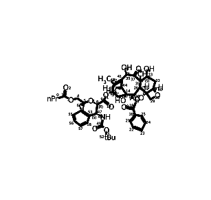 CCCC(=O)OCC(=O)O[C@@H](C(=O)O[C@H]1C[C@@]2(O)[C@@H](OC(=O)c3ccccc3)[C@@H]3[C@]4(OC(C)=O)CO[C@@H]4C[C@H](O)[C@@]3(C)C(=O)[C@H](O)C(=C1C)C2(C)C)[C@@H](NC(=O)OC(C)(C)C)c1ccccc1